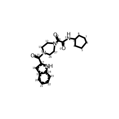 O=C(NC1CCCCC1)C(=O)N1CCN(C(=O)c2cc3ccccc3[nH]2)CC1